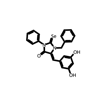 O=C1C(=Cc2cc(O)cc(O)c2)N(Cc2ccccc2)C(=[Se])N1c1ccccc1